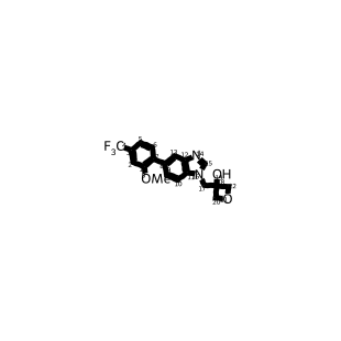 COc1cc(C(F)(F)F)ccc1-c1ccc2c(c1)ncn2CC1(O)COC1